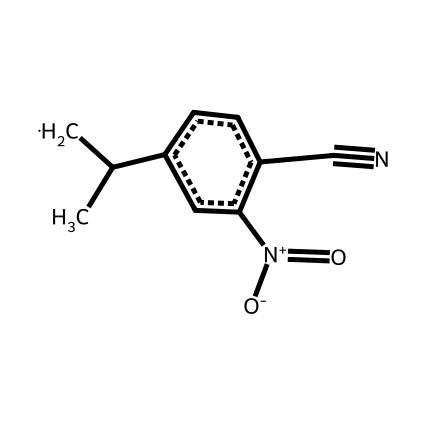 [CH2]C(C)c1ccc(C#N)c([N+](=O)[O-])c1